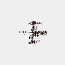 CC(=O)NC1C(O)[C@H](O)C(CO)O[C@H]1OCCCCC(=O)NCCCNC(=O)CCOCC(COCCC(=O)NCCCNC(=O)CCCCO[C@@H]1OC(CO)[C@@H](O)C(O)C1NC(C)=O)(COCCC(=O)NCCCNC(=O)CCCCO[C@@H]1OC(CO)[C@@H](O)C(O)C1NC(C)=O)NC(=O)CCCCCCCCCCC(=O)O